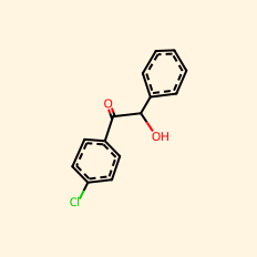 O=C(c1ccc(Cl)cc1)C(O)c1ccccc1